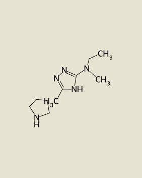 C1CCNC1.CCN(C)c1nnc(C)[nH]1